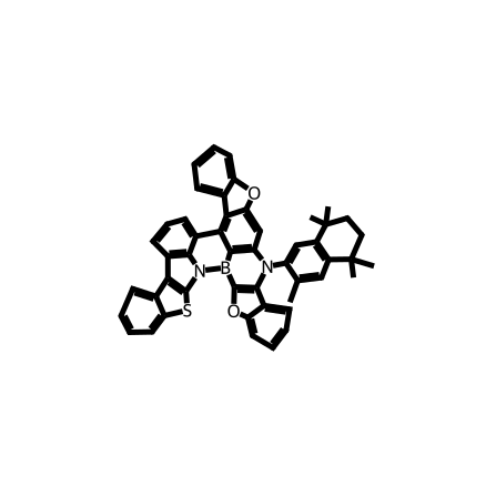 Cc1cc2c(cc1N1c3cc4oc5ccccc5c4c4c3B(c3oc5ccccc5c31)n1c3sc5ccccc5c3c3cccc-4c31)C(C)(C)CCC2(C)C